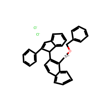 C1=C(c2ccccc2)C(c2ccc3ccccc3[c]2[Ti+2][O]Cc2ccccc2)c2ccccc21.[Cl-].[Cl-]